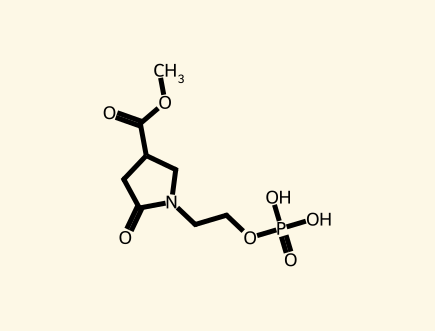 COC(=O)C1CC(=O)N(CCOP(=O)(O)O)C1